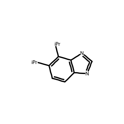 CC(C)c1ccc2c(c1C(C)C)N=C=N2